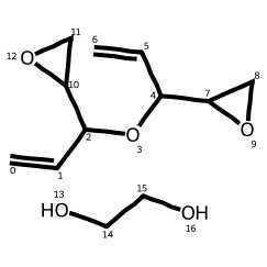 C=CC(OC(C=C)C1CO1)C1CO1.OCCO